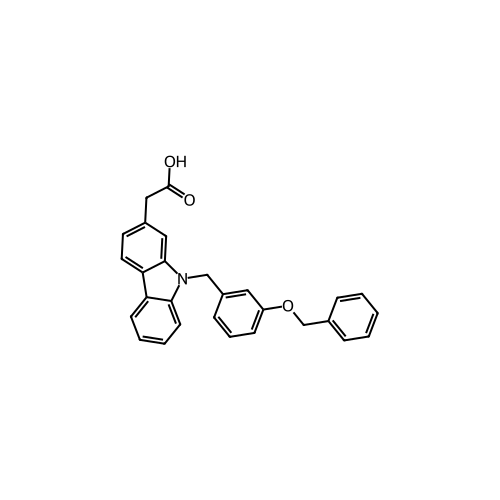 O=C(O)Cc1ccc2c3ccccc3n(Cc3cccc(OCc4ccccc4)c3)c2c1